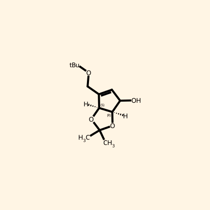 CC(C)(C)OCC1=CC(O)[C@H]2OC(C)(C)O[C@@H]12